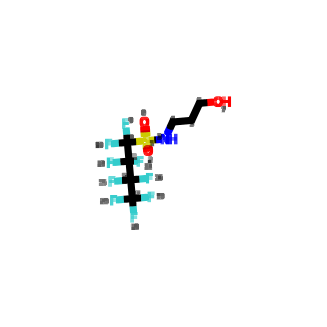 O=S(=O)(NCCCO)C(F)(F)C(F)(F)C(F)(F)C(F)(F)F